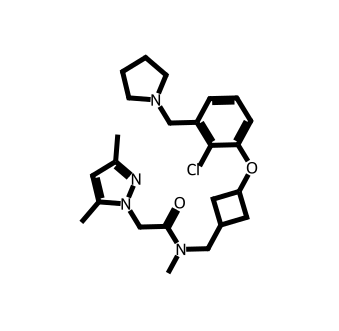 Cc1cc(C)n(CC(=O)N(C)CC2CC(Oc3cccc(CN4CCCC4)c3Cl)C2)n1